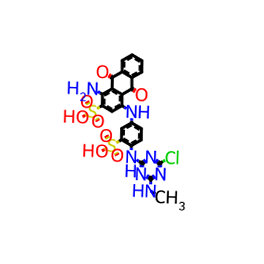 CNc1nc(Cl)nc(Nc2ccc(Nc3cc(S(=O)(=O)O)c(N)c4c3C(=O)c3ccccc3C4=O)cc2S(=O)(=O)O)n1